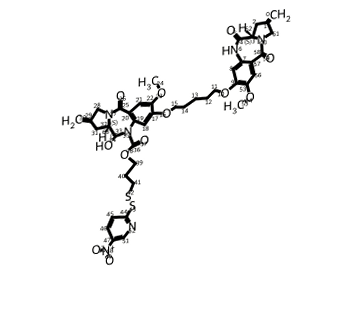 C=C1C[C@H]2C(=O)Nc3cc(OCCCCCOc4cc5c(cc4OC)C(=O)N4CC(=C)C[C@H]4[C@H](O)N5C(=O)OCCCSSc4ccc([N+](=O)[O-])cn4)c(OC)cc3C(=O)N2C1